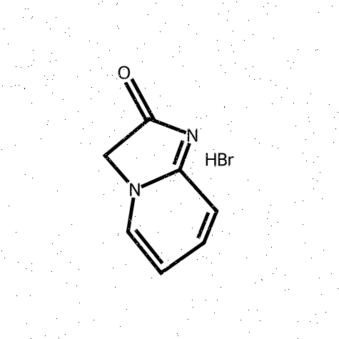 Br.O=C1CN2C=CC=CC2=N1